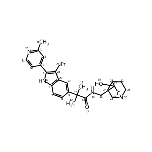 Cc1cc(-c2[nH]c3ccc(C(C)(C)C(=O)NCC4(O)CN5CCC4CC5)cc3c2C(C)C)ccn1